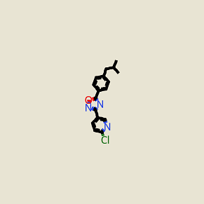 CC(C)Cc1ccc(-c2nc(-c3ccc(Cl)nc3)no2)cc1